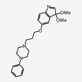 COC1(OC)C=Nc2ccc(OCCCN3CCN(c4ccccc4)CC3)cc21